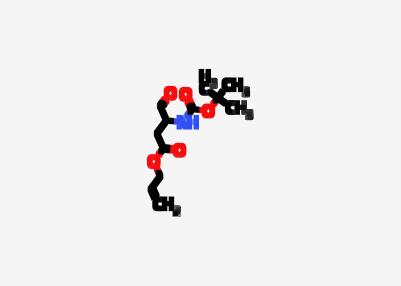 C=CCOC(=O)CC(C=O)NC(=O)OC(C)(C)C